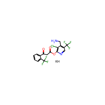 NCc1c(C(F)(F)F)cnc(OC(=O)CC(=O)c2ccccc2C(F)(F)F)c1Cl.[KH]